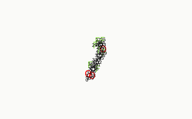 CC1COC(c2cc(F)c(C3CCC(C4CCC(C(F)(F)Oc5cc(F)c(F)c(F)c5)CC4)CC3)c(F)c2)OC1